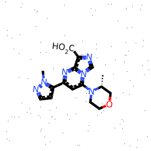 C[C@@H]1COCCN1c1cc(-c2ccnn2C)nc2c(C(=O)O)ncn12